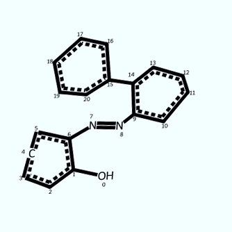 Oc1ccccc1N=Nc1ccccc1-c1ccccc1